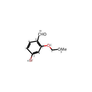 COCOc1cc(Br)ccc1C=O